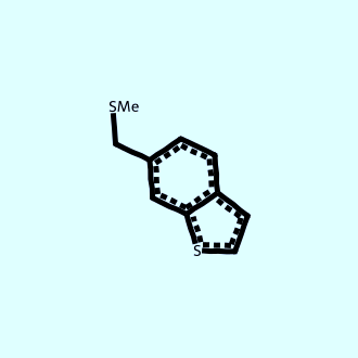 CSCc1ccc2ccsc2c1